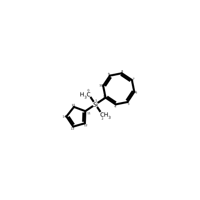 C[Si](C)(C1=CC=CC=CC=C1)C1=CC=CC1